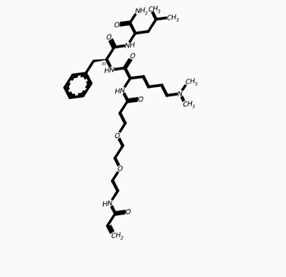 C=CC(=O)NCCOCCOCCC(=O)NC(CCCCN(C)C)C(=O)N[C@@H](Cc1ccccc1)C(=O)NC(CC(C)C)C(N)=O